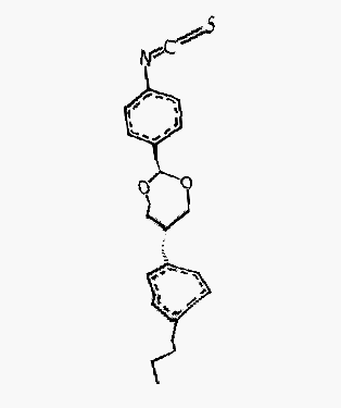 CCCc1ccc([C@H]2CO[C@H](c3ccc(N=C=S)cc3)OC2)cc1